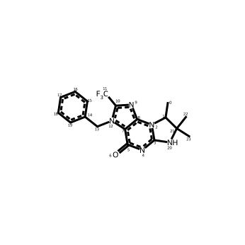 CC1n2c(nc(=O)c3c2nc(C(F)(F)F)n3Cc2ccccc2)NC1(C)C